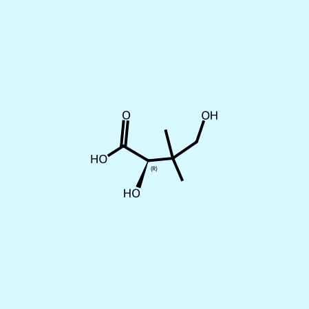 CC(C)(CO)[C@@H](O)C(=O)O